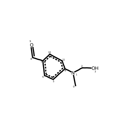 CN(CO)c1ccc(C=O)cc1